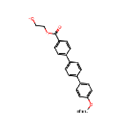 CCCCCOc1ccc(-c2ccc(-c3ccc(C(=O)OCCO)cc3)cc2)cc1